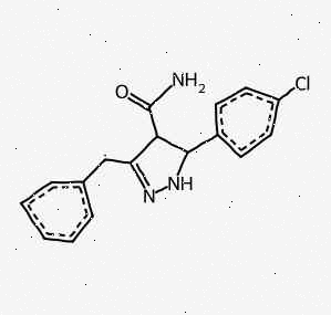 NC(=O)C1C([CH]c2ccccc2)=NNC1c1ccc(Cl)cc1